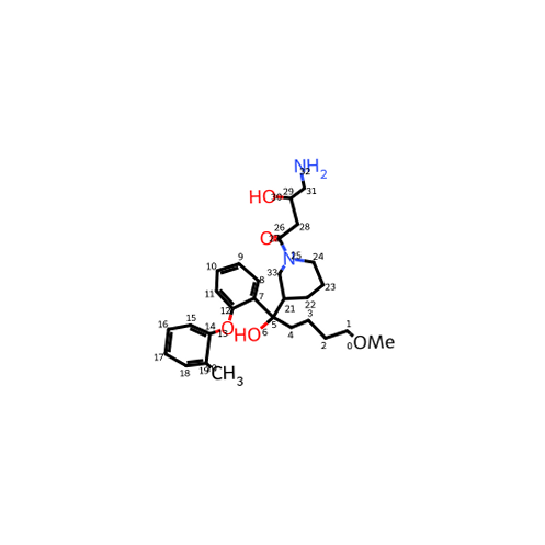 COCCCCC(O)(c1ccccc1Oc1ccccc1C)C1CCCN(C(=O)CC(O)CN)C1